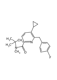 CN(C(=O)c1ccc(C2CC2)c(Cc2ccc(F)cc2)n1)C(C)(C)C